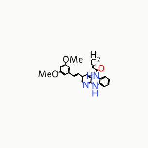 C=CC(=O)Nc1ccccc1Nc1ccc(/C=C/c2cc(OC)cc(OC)c2)cn1